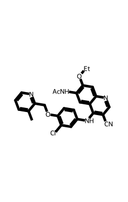 CCOc1cc2ncc(C#N)c(Nc3ccc(OCc4ncccc4C)c(Cl)c3)c2cc1NC(C)=O